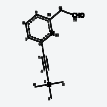 C[Si](C)(C)C#Cc1cccc(CC=O)n1